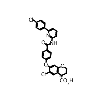 O=C(Nc1cccc(-c2ccc(Cl)cc2)n1)c1ccc(Oc2cc3c(cc2Cl)[C@@H](C(=O)O)CCO3)cc1